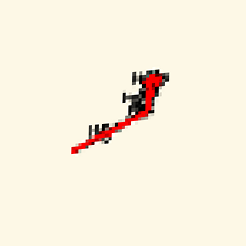 CCCCCCCCCCCCCCCC(=O)N(O)CCCCCCCCCCCCCCCCCCOP(=O)(O)OCCNC(=O)CC[C@H](C(N)=O)N(CC(C)O[C@H]1[C@H](OC(C)=O)[C@@H](COC(C)=O)O[C@@](O)(C(C)=O)[C@H]1NC(C)=O)C(=O)[C@H](C)N